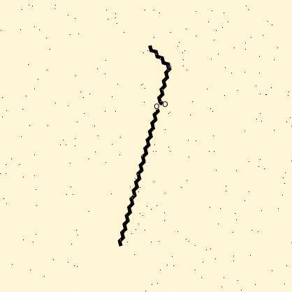 CCCCCC/C=C\CCCCCCCC(=O)OCCCCCCCCCCCCCCCCCCCCCCCCCCCCCCCCC